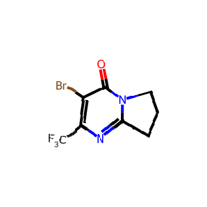 O=c1c(Br)c(C(F)(F)F)nc2n1CCC2